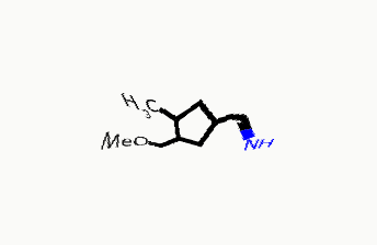 COCC1CC(C=N)CC1C